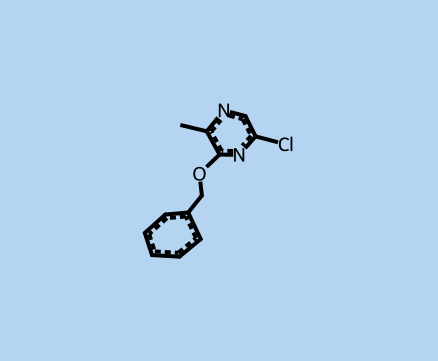 Cc1ncc(Cl)nc1OCc1ccccc1